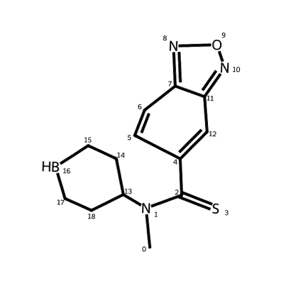 CN(C(=S)c1ccc2nonc2c1)C1CCBCC1